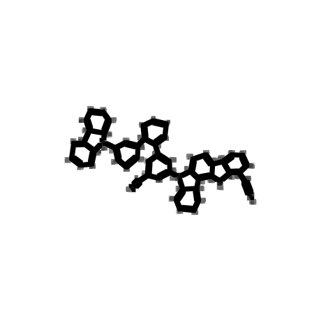 N#Cc1cc(-c2ccccc2-c2cccc(-n3c4ccccc4c4ccccc43)c2)cc(-n2c3ccccc3c3c4sc5c(C#N)cccc5c4ccc32)c1